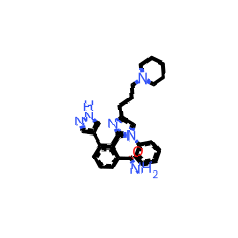 NC(=O)c1cccc(-c2cn[nH]c2)c1-c1nc(CCCN2CCCCC2)cn1-c1ccccc1